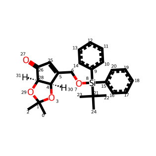 CC1(C)O[C@@H]2C(CO[Si](c3ccccc3)(c3ccccc3)C(C)(C)C)=CC(=O)[C@@H]2O1